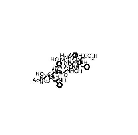 CC(=O)CNC(=O)[C@H](CO)NC(=O)[C@H](Cc1c[nH]c2ccccc12)NC(=O)[C@H](CC(C)C)NC(=O)[C@H](Cc1ccc(O)cc1)NC(=O)[C@@H](CCCNC(=N)N)NC(=O)[C@@H](CO)NC(=O)[C@H](Cc1ccccc1)NC(=O)[C@H](CC1CCCCC1)NC(=O)[C@H](CC(=O)O)NC(C)=O